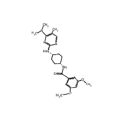 COc1cc(OC)cc(C(=O)N[C@H]2CC[C@@H](Nc3ncc(C)c(N(C)C)n3)CC2)c1